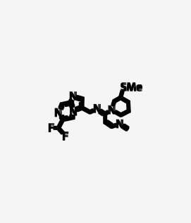 C=N/C=C\C(=N/Cc1cnc2cnc(C(F)F)cn12)N1CCCC(SC)C1